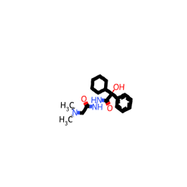 CN(C)CC(=O)NNC(=O)[C@](O)(c1ccccc1)C1CCCCC1